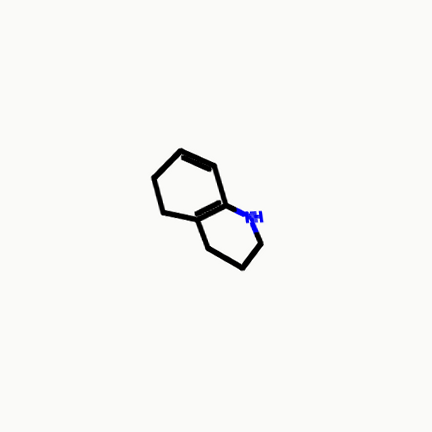 C1=CC2=C(CC1)CCCN2